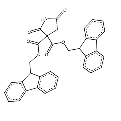 O=C1CC(C(=O)OCC2c3ccccc3-c3ccccc32)(C(=O)OCC2c3ccccc3-c3ccccc32)C(=O)N1